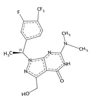 C[C@@H](c1ccc(C(F)(F)F)c(F)c1)n1nc(CO)c2c(=O)[nH]c(N(C)C)nc21